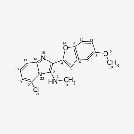 CNc1c(-c2cc3cc(OC)ccc3o2)nc2cccc(Cl)n12